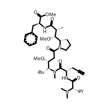 C#CC[C@H](NC(=O)[C@H](C(C)C)N(C)C)C(=O)N(C)[C@@H]([C@@H](C)CC)[C@@H](CC(=O)N1CCC[C@H]1[C@H](OC)[C@@H](C)C(=O)N[C@@H](Cc1ccccc1)C(=O)OC)OC